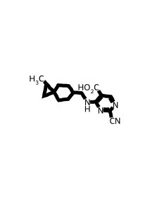 CC1CC12CCC(CNc1nc(C#N)ncc1C(=O)O)CC2